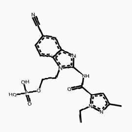 CCn1nc(C)cc1C(=O)Nc1nc2cc(C#N)ccc2n1CCOP(=O)(O)O